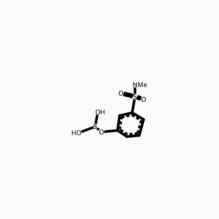 CNS(=O)(=O)c1cccc(OB(O)O)c1